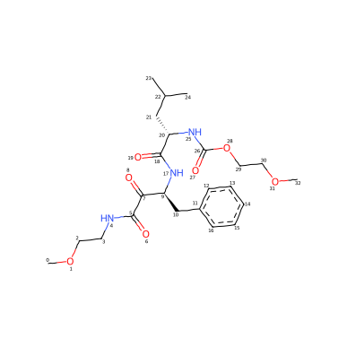 COCCNC(=O)C(=O)[C@H](Cc1ccccc1)NC(=O)[C@H](CC(C)C)NC(=O)OCCOC